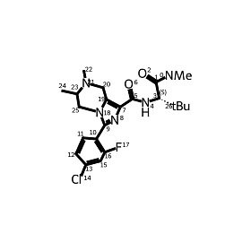 CNC(=O)[C@@H](NC(=O)c1nc(-c2ccc(Cl)cc2F)n2c1CN(C)C(C)C2)C(C)(C)C